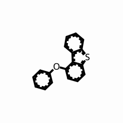 c1ccc(Oc2cccc3sc4ccccc4c23)cc1